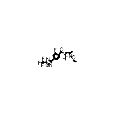 CCONC(C)CNC(=O)c1ccc(-c2noc(C(F)(F)F)n2)cc1F